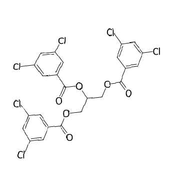 O=C(OCC(COC(=O)c1cc(Cl)cc(Cl)c1)OC(=O)c1cc(Cl)cc(Cl)c1)c1cc(Cl)cc(Cl)c1